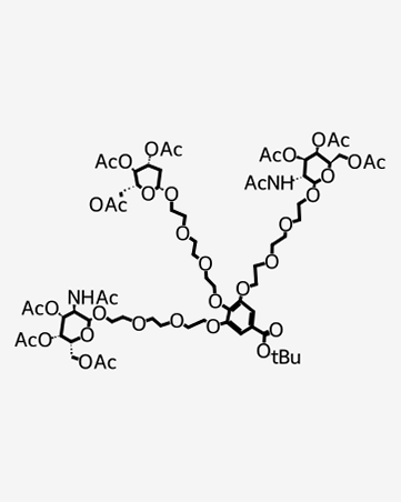 CC(=O)N[C@H]1[C@H](OCCOCCOCCOc2cc(C(=O)OC(C)(C)C)cc(OCCOCCOCCO[C@@H]3O[C@H](COC(C)=O)[C@H](OC(C)=O)[C@H](OC(C)=O)[C@H]3NC(C)=O)c2OCCOCCOCCO[C@H]2C[C@@H](OC(C)=O)[C@@H](OC(C)=O)[C@@H](COC(C)=O)O2)O[C@H](COC(C)=O)[C@H](OC(C)=O)[C@@H]1OC(C)=O